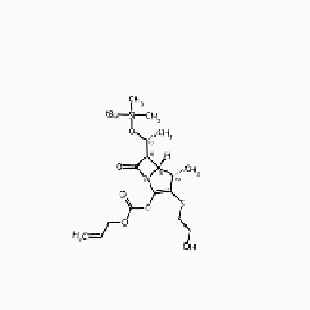 C=CCOC(=O)OC1=C(SCCO)[C@@H](C)[C@H]2[C@H]([C@@H](C)O[Si](C)(C)C(C)(C)C)C(=O)N12